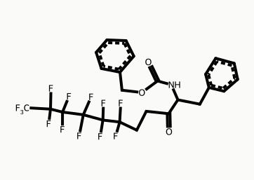 O=C(NC(Cc1ccccc1)C(=O)CCC(F)(F)C(F)(F)C(F)(F)C(F)(F)C(F)(F)C(F)(F)F)OCc1ccccc1